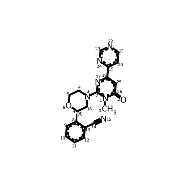 Cn1c(N2CCO[C@H](c3ccccc3C#N)C2)nc(-c2ccncn2)cc1=O